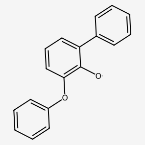 [O]c1c(Oc2ccccc2)cccc1-c1ccccc1